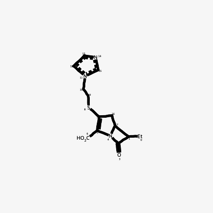 CCC1C(=O)N2C(C(=O)O)=C(SCCn3ccnc3)CC12